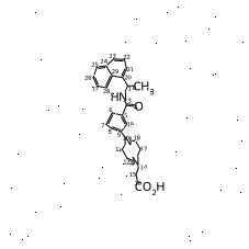 CC(NC(=O)c1cccc(N2CCN(CCC(=O)O)CC2)c1)c1cccc2ccccc12